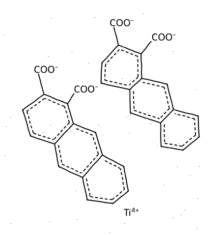 O=C([O-])c1ccc2cc3ccccc3cc2c1C(=O)[O-].O=C([O-])c1ccc2cc3ccccc3cc2c1C(=O)[O-].[Ti+4]